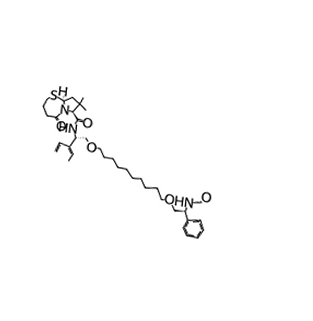 C=C/C(=C\C)[C@@H](COCCCCCCCCCCOC[C@@H](NC=O)c1ccccc1)NC(=O)[C@H]1N2C(=O)CCCS[C@H]2CC1(C)C